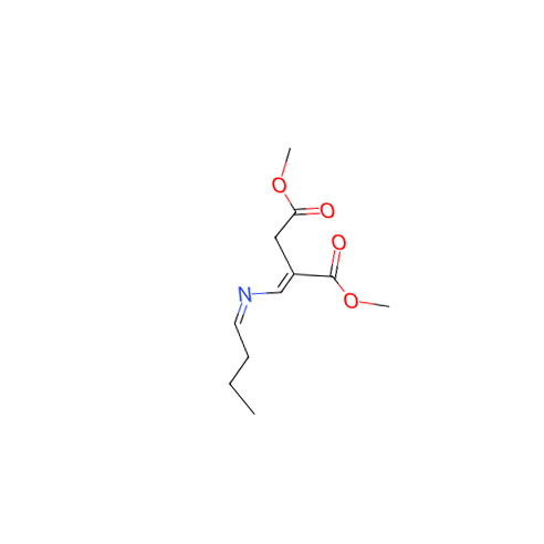 CCC/C=N\C=C(/CC(=O)OC)C(=O)OC